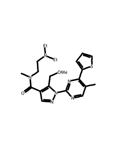 CCN(CC)CCN(C)C(=O)c1cnn(-c2ncc(C)c(-c3cccs3)n2)c1COC